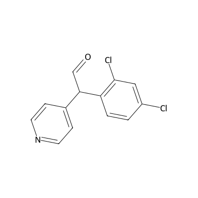 O=CC(c1ccncc1)c1ccc(Cl)cc1Cl